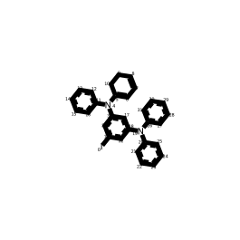 Ic1cc(N(C2=CC=CCC2)c2ccccc2)cc(N(c2ccccc2)c2ccccc2)c1